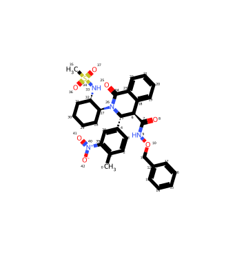 Cc1ccc([C@H]2[C@H](C(=O)NOCc3ccccc3)c3ccccc3C(=O)N2[C@H]2CCCC[C@@H]2NS(C)(=O)=O)cc1[N+](=O)[O-]